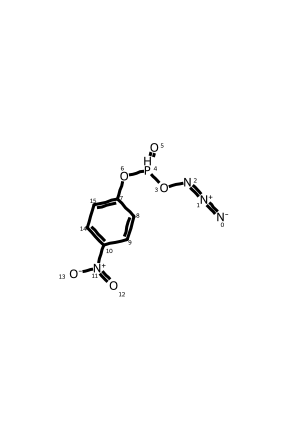 [N-]=[N+]=NO[PH](=O)Oc1ccc([N+](=O)[O-])cc1